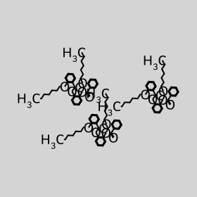 CCCCCCCOc1ccccc1C(=O)Oc1ccccc1OC(=O)c1ccccc1OCCCCCCC.CCCCCCCOc1ccccc1C(=O)Oc1ccccc1OC(=O)c1ccccc1OCCCCCCC.CCCCCCCOc1ccccc1C(=O)Oc1ccccc1OC(=O)c1ccccc1OCCCCCCC